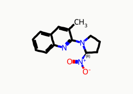 Cc1cc2ccccc2nc1N1CCC[C@H]1[N+](=O)[O-]